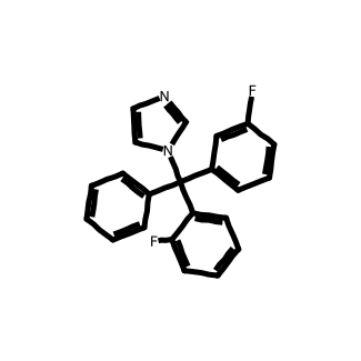 Fc1cccc(C(c2ccccc2)(c2ccccc2F)n2ccnc2)c1